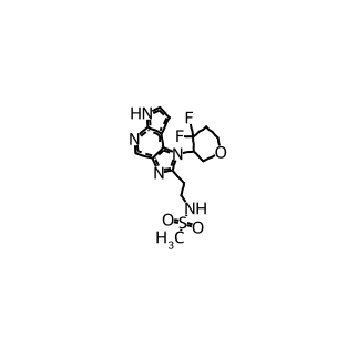 CS(=O)(=O)NCCc1nc2cnc3[nH]ccc3c2n1C1COCCC1(F)F